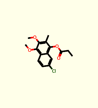 CCC(=O)Oc1c(C)c(OC)c(OC)c2ccc(Cl)cc12